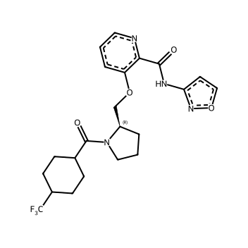 O=C(Nc1ccon1)c1ncccc1OC[C@H]1CCCN1C(=O)C1CCC(C(F)(F)F)CC1